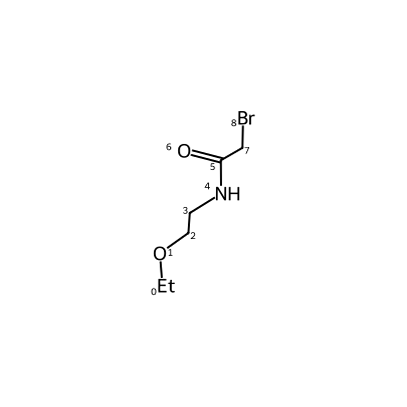 CCOCCNC(=O)CBr